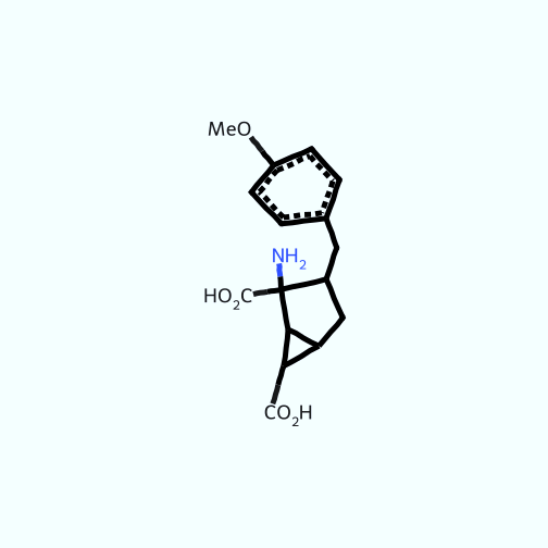 COc1ccc(CC2CC3C(C(=O)O)C3C2(N)C(=O)O)cc1